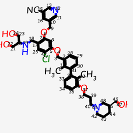 Cc1c(COc2cc(OCc3cncc(C#N)c3)c(CNC(CO)CO)cc2Cl)cccc1-c1cccc(OCCCN2CCC[C@H](CO)C2)c1C